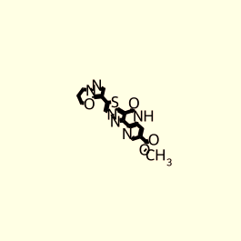 COC(=O)c1cnc2c(c1)[nH]c(=O)c1c2nn2cc(-c3cnn4c3OCCC4)sc12